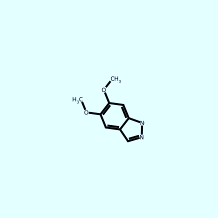 COc1cc2c(cc1OC)[N]N=C2